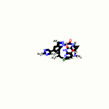 CC(=O)c1nn2c3c(cc(-c4cnc(C)nc4)cc13)C(C)C(C)CCCCCN(C)C[C@@]13C[C@@H](C(=O)Nc4nc(Br)ccc4C)N(C(=O)C2)[C@@H]1C3